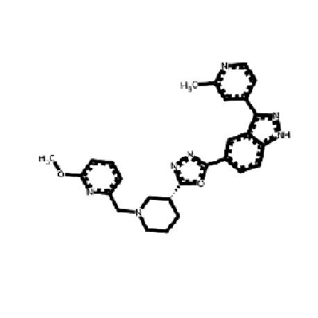 COc1cccc(CN2CCC[C@@H](c3nnc(-c4ccc5[nH]nc(-c6ccnc(C)c6)c5c4)o3)C2)n1